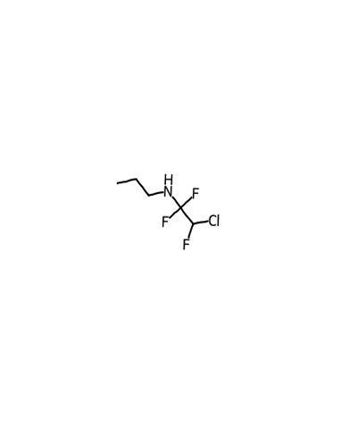 CCCNC(F)(F)C(F)Cl